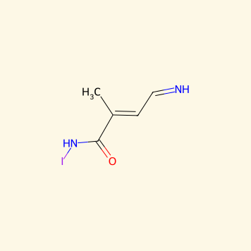 C/C(=C\C=N)C(=O)NI